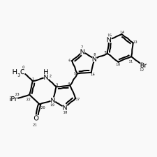 Cc1[nH]c2c(-c3cnn(-c4cc(Br)ccn4)c3)cnn2c(=O)c1C(C)C